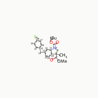 COC(=O)C1(C)CN(C(=O)OC(C)(C)C)c2cc(Cc3ccc(F)cc3)ccc21